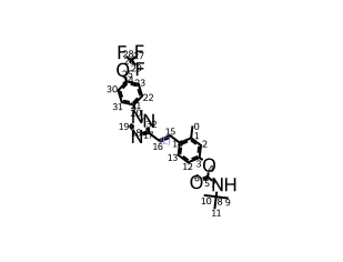 Cc1cc(OC(=O)NC(C)(C)C)ccc1/C=C/c1ncn(-c2ccc(OC(F)(F)F)cc2)n1